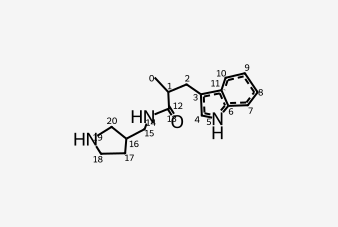 CC(Cc1c[nH]c2ccccc12)C(=O)NCC1CCNC1